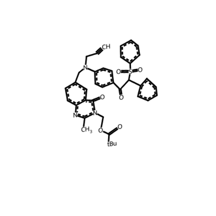 C#CCN(Cc1ccc2nc(C)n(COC(=O)C(C)(C)C)c(=O)c2c1)c1ccc(C(=O)C(c2ccccc2)S(=O)(=O)c2ccccc2)cc1